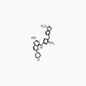 Cc1cc(Nc2ncnc3ccc(N4CCNCC4)nc23)ccc1Cc1ccc2c(c1)ncn2C.Cl